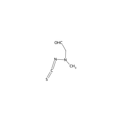 CN(CC=O)N=C=S